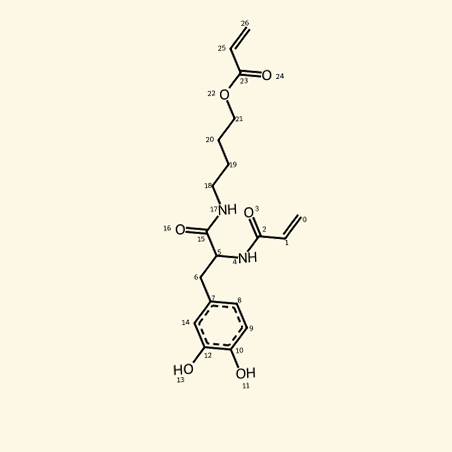 C=CC(=O)NC(Cc1ccc(O)c(O)c1)C(=O)NCCCCOC(=O)C=C